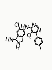 COc1c(Nc2cc3c(cc2Cl)C(=N)NC3)ncnc1-c1ccc(C)cc1